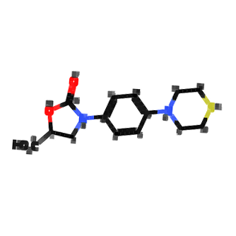 O=C(O)C1CN(c2ccc(N3CCSCC3)cc2)C(=O)O1